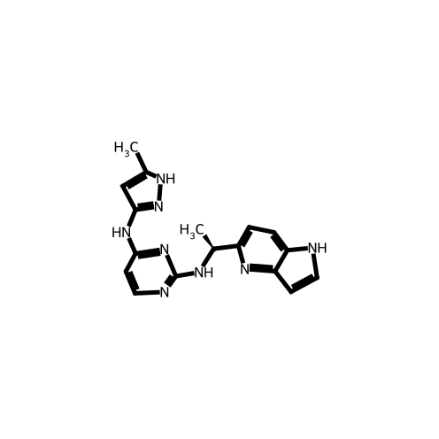 Cc1cc(Nc2ccnc(N[C@@H](C)c3ccc4[nH]ccc4n3)n2)n[nH]1